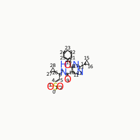 CS(=O)(=O)/C=C/C(NC(=O)c1cnc(C2CC2)nc1Oc1ccccc1)C1CC1